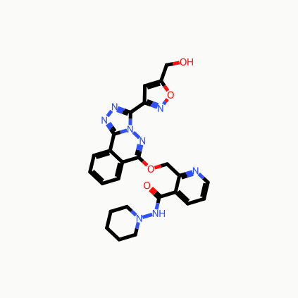 O=C(NN1CCCCC1)c1cccnc1COc1nn2c(-c3cc(CO)on3)nnc2c2ccccc12